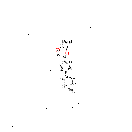 CCCCC[C@H]1CO[C@H](c2ccc(-c3ccc(C#N)cc3)cc2)CO1